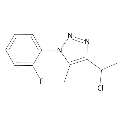 Cc1c(C(C)Cl)nnn1-c1ccccc1F